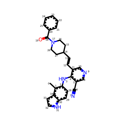 Cc1c(Nc2c(C#N)cncc2/C=C/C2CCN(C(=O)c3ccccc3)CC2)ccc2[nH]ccc12